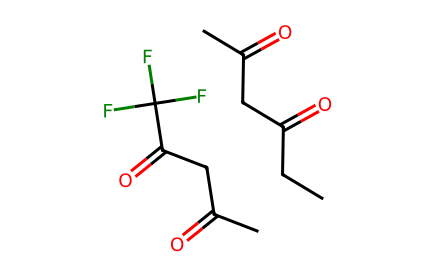 CC(=O)CC(=O)C(F)(F)F.CCC(=O)CC(C)=O